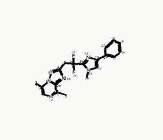 Cc1ncc(C)n2nc(CC(F)(F)c3nc(-c4ccccc4)cn3C)nc12